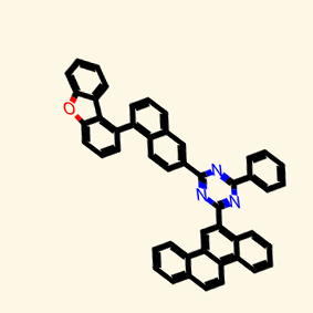 c1ccc(-c2nc(-c3ccc4c(-c5cccc6oc7ccccc7c56)cccc4c3)nc(-c3cc4c5ccccc5ccc4c4ccccc34)n2)cc1